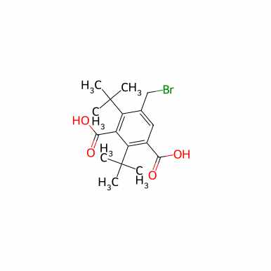 CC(C)(C)c1c(CBr)cc(C(=O)O)c(C(C)(C)C)c1C(=O)O